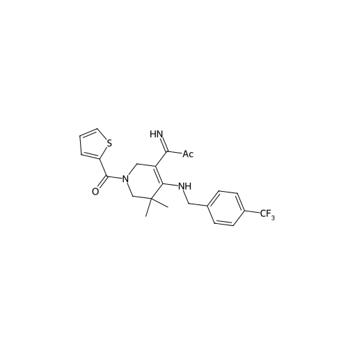 CC(=O)C(=N)C1=C(NCc2ccc(C(F)(F)F)cc2)C(C)(C)CN(C(=O)c2cccs2)C1